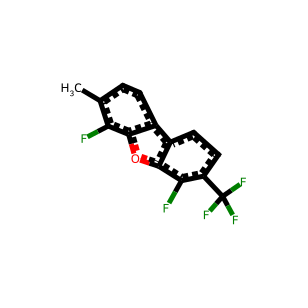 Cc1ccc2c(oc3c(F)c(C(F)(F)F)ccc32)c1F